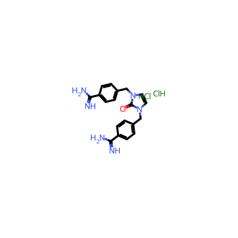 Cl.Cl.N=C(N)c1ccc(Cn2ccn(Cc3ccc(C(=N)N)cc3)c2=O)cc1